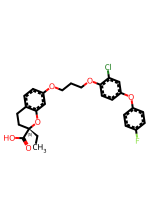 CC[C@@]1(C(=O)O)CCc2ccc(OCCCOc3ccc(Oc4ccc(F)cc4)cc3Cl)cc2O1